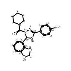 O=C(C1CCCCC1)N1N=C(c2ccc(F)cc2)SC1c1cccc2c1OCO2